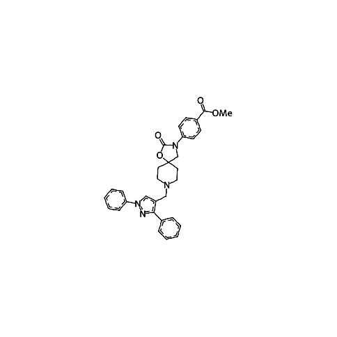 COC(=O)c1ccc(N2CC3(CCN(Cc4cn(-c5ccccc5)nc4-c4ccccc4)CC3)OC2=O)cc1